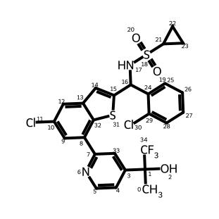 CC(O)(c1ccnc(-c2cc(Cl)cc3cc(C(NS(=O)(=O)C4CC4)c4ccccc4Cl)sc23)c1)C(F)(F)F